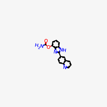 NC(=O)Oc1cccc2[nH]c(-c3ccc4ncccc4c3)nc12